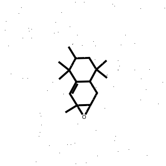 CC1CC(C)(C)C2CC3OC3(C)C=C2C1(C)C